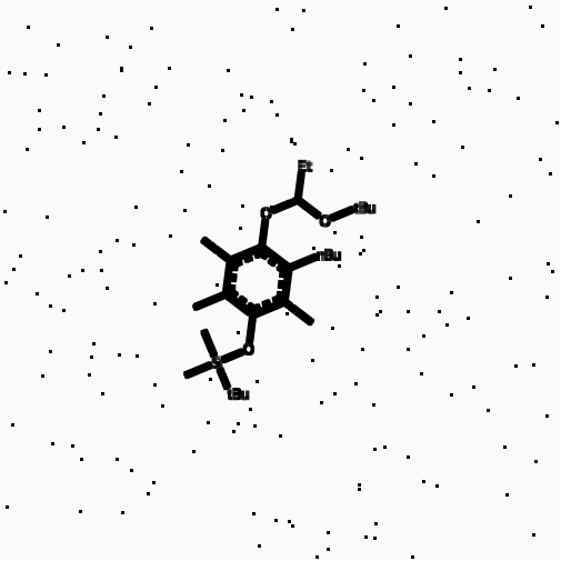 CCCCc1c(C)c(O[Si](C)(C)C(C)(C)C)c(C)c(C)c1OC(CC)OC(C)(C)C